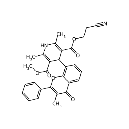 COC(=O)C1=C(C)NC(C)=C(C(=O)OCCC#N)C1c1cccc2c(=O)c(C)c(-c3ccccc3)oc12